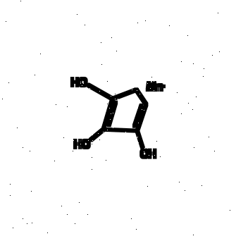 OC1=CCC(O)=C1O.[Mn]